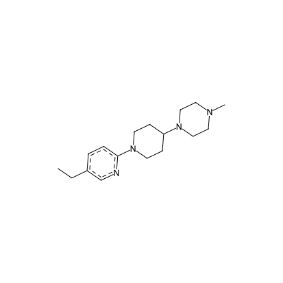 CCc1ccc(N2CCC(N3CCN(C)CC3)CC2)nc1